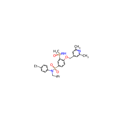 CCc1ccc(N(CC(C)C)S(=O)(=O)c2ccc(OCc3cc(C)nc(C)c3)c(S(C)(=N)=O)c2)cc1